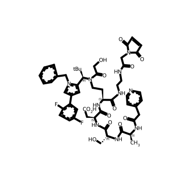 C[C@H](NC(=O)Cc1ccncc1)C(=O)N[C@H](CO)C(=O)N[C@@H](CC(=O)O)C(=O)N[C@@H](CCN(C(=O)CO)[C@@H](c1cc(-c2cc(F)ccc2F)cn1Cc1ccccc1)C(C)(C)C)C(=O)NCCNC(=O)CN1C(=O)C=CC1=O